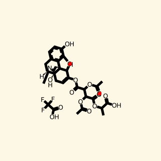 CC(=O)OC(C(=O)OC1=CC[C@@]2(O)[C@H]3Cc4ccc(O)c5c4[C@@]2(CCN3C)[C@H]1O5)C(OC(C)=O)C(=O)OC(C)C(=O)O.O=C(O)C(F)(F)F